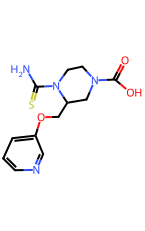 NC(=S)N1CCN(C(=O)O)CC1COc1cccnc1